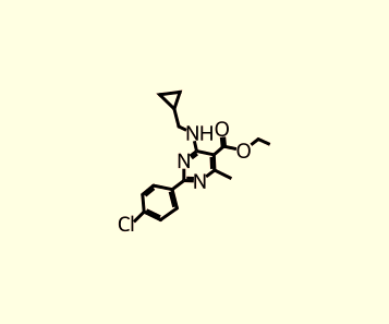 CCOC(=O)c1c(C)nc(-c2ccc(Cl)cc2)nc1NCC1CC1